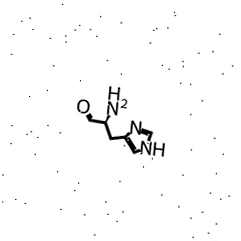 N[C@H](C=O)Cc1c[nH]cn1